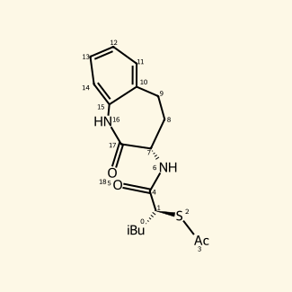 CC[C@@H](C)[C@H](SC(C)=O)C(=O)N[C@H]1CCc2ccccc2NC1=O